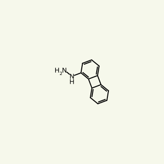 NNc1cccc2c1-c1ccccc1-2